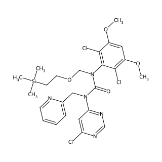 COc1cc(OC)c(Cl)c(N(COCC[Si](C)(C)C)C(=O)N(Cc2ccccn2)c2cc(Cl)ncn2)c1Cl